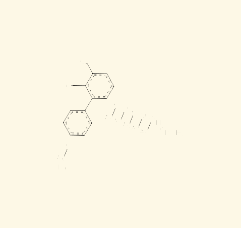 CC(=O)[O-].CC(=O)[O-].CC(=O)[O-].CC(=O)[O-].CC(=O)[O-].CC(=O)[O-].Clc1cccc(-c2ccccc2)c1Cl.O.[La+3].[PH6+3]